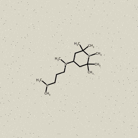 CN(C)CCCN(C)C1CC(C)(C)N(C)C(C)(C)C1